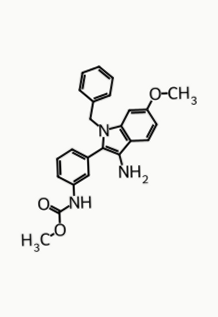 COC(=O)Nc1cccc(-c2c(N)c3ccc(OC)cc3n2Cc2ccccc2)c1